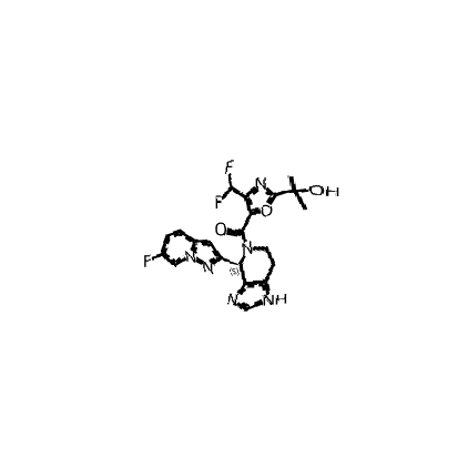 CC(C)(O)c1nc(C(F)F)c(C(=O)N2CCc3[nH]cnc3[C@H]2c2cc3ccc(F)cn3n2)o1